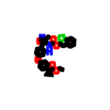 CCOC(=O)C1(c2ccc(Oc3ccc(-c4onc(C)c4NC(=O)OCCc4ccccc4Cl)cc3)cc2)CC1